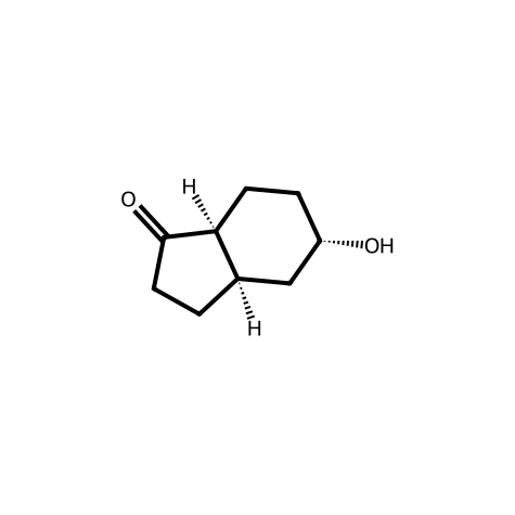 O=C1CC[C@@H]2C[C@@H](O)CC[C@H]12